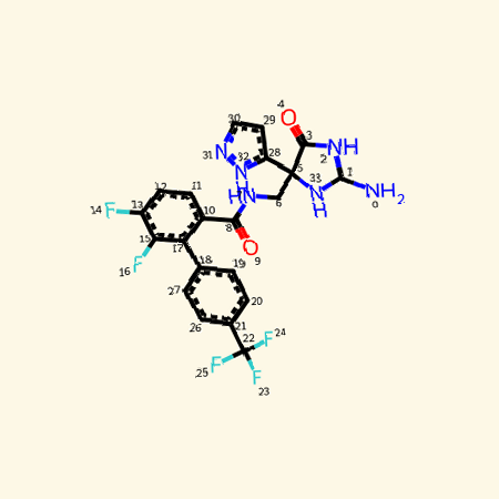 NC1NC(=O)C(CNC(=O)c2ccc(F)c(F)c2-c2ccc(C(F)(F)F)cc2)(c2ccn[nH]2)N1